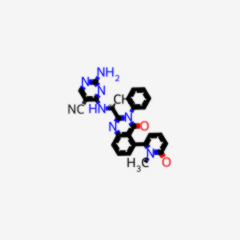 C[C@@H](Nc1nc(N)ncc1C#N)c1nc2cccc(-c3cccc(=O)n3C)c2c(=O)n1-c1ccccc1